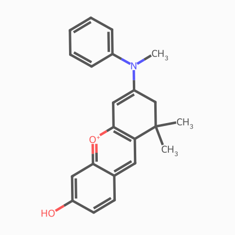 CN(C1=Cc2[o+]c3cc(O)ccc3cc2C(C)(C)C1)c1ccccc1